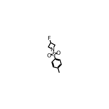 Cc1ccc(S(=O)(=O)N2CC(F)C2)cc1